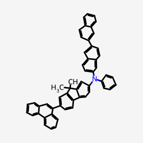 CC1(C)c2cc(-c3cc4ccccc4c4ccccc34)ccc2-c2ccc(N(c3ccccc3)c3ccc4cc(-c5ccc6ccccc6c5)ccc4c3)cc21